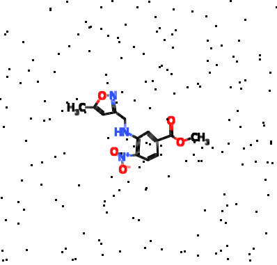 COC(=O)c1ccc([N+](=O)[O-])c(NCc2cc(C)on2)c1